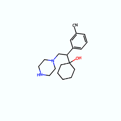 N#Cc1cccc(C(CN2CCNCC2)C2(O)CCCCC2)c1